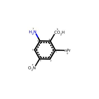 CCCc1cc([N+](=O)[O-])cc(N)c1C(=O)O